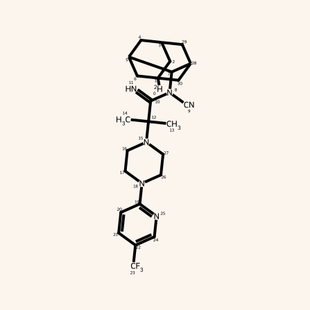 [2H]C12CC3CC(C1)C(N(C#N)C(=N)C(C)(C)N1CCN(c4ccc(C(F)(F)F)cn4)CC1)C(C3)C2